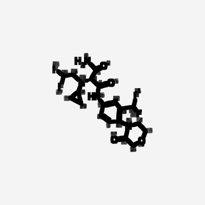 NC(=O)[C@H](C(=O)Nc1ccc(N2CCOCC2=O)c(C(F)F)c1)N(CC(F)F)C1CC1